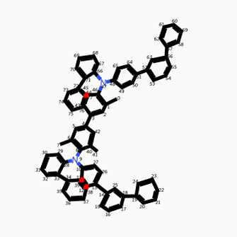 Cc1cc(-c2cc(C)c(N(c3ccc(-c4cccc(-c5ccccc5)c4)cc3)c3ccccc3-c3ccccc3)c(C)c2)cc(C)c1N(c1ccc(-c2cccc(-c3ccccc3)c2)cc1)c1ccccc1-c1ccccc1